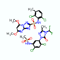 COc1cc(OC)n2nc(S(=O)(=O)Nc3c(Cl)ccc(C)c3Cl)nc2n1.Cc1nn(-c2cc(NS(C)(=O)=O)c(Cl)cc2Cl)c(=O)n1C(F)F